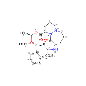 CCOC(=O)O[C@@H](C)OC(=O)C1CCCN2CCC[C@H](N[C@@H](CCc3ccccc3)C(=O)OCC)C(=O)N12